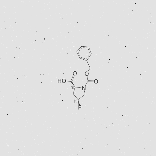 O=C(O)[C@@H]1C[C@H](F)CN1C(=O)OCc1ccccc1